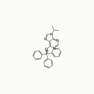 CC(C)n1cnc2c(O[PH](c3ccccc3)(c3ccccc3)c3ccccc3)ncnc21